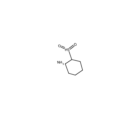 N.O=[SH](=O)C1CCCCC1